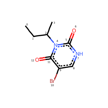 CCC(C)n1c(=O)[nH]cc(Br)c1=O